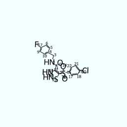 O=C(NCc1ccc(F)cc1)C1=C(S(=O)(=O)c2ccc(Cl)cc2)SNN1